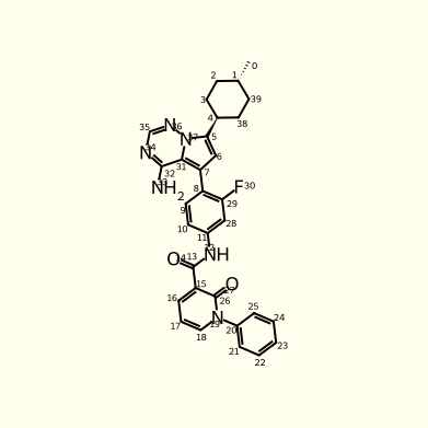 C[C@H]1CC[C@H](c2cc(-c3ccc(NC(=O)c4cccn(-c5ccccc5)c4=O)cc3F)c3c(N)ncnn32)CC1